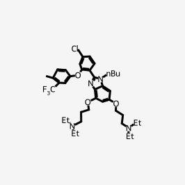 CCCCn1c(-c2ccc(Cl)cc2Oc2ccc(C)c(C(F)(F)F)c2)nc2c(OCCCN(CC)CC)cc(OCCCN(CC)CC)cc21